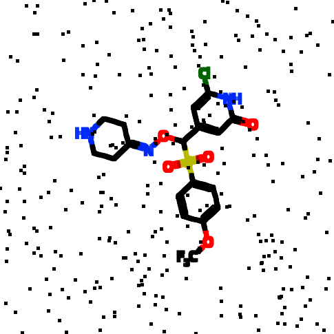 O=c1cc(C(ON=C2CCNCC2)S(=O)(=O)c2ccc(OC(F)(F)F)cc2)cc(Cl)[nH]1